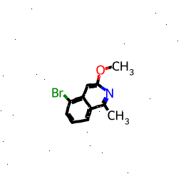 COc1cc2c(Br)cccc2c(C)n1